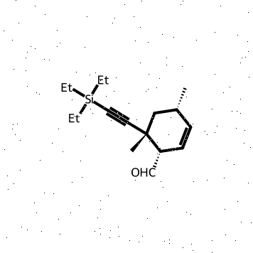 CC[Si](C#C[C@]1(C)C[C@H](C)C=C[C@@H]1C=O)(CC)CC